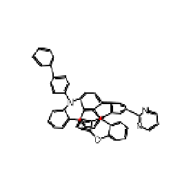 c1ccc(-c2ccc(N(c3ccc4c(c3)C3(c5ccccc5Oc5ccccc53)c3cc(-c5ncccn5)ccc3-4)c3ccccc3-c3ccccc3)cc2)cc1